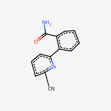 N#Cc1cccc(-c2ccccc2C(N)=O)n1